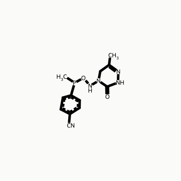 CC1=NNC(=O)N(NOP(C)c2ccc(C#N)cc2)C1